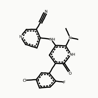 CN(C)c1[nH]c(=O)c(-c2cc(Cl)ccc2F)cc1Nc1ccncc1C#N